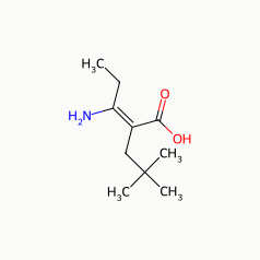 CCC(N)=C(CC(C)(C)C)C(=O)O